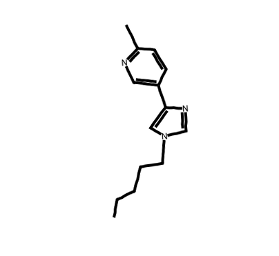 CCCCCn1cnc(-c2ccc(C)nc2)c1